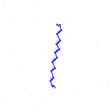 N/N=N/N=N/N=N/N=N/N=N/N=N/N